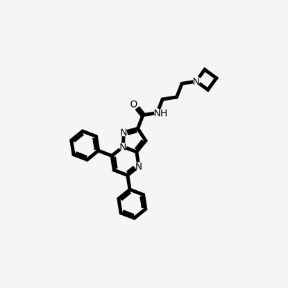 O=C(NCCCN1CCC1)c1cc2nc(-c3ccccc3)cc(-c3ccccc3)n2n1